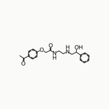 CC(=O)c1ccc(OCC(=O)NCCNCC(O)c2ccccc2)cc1